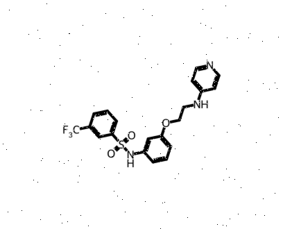 O=S(=O)(Nc1cccc(OCCNc2ccncc2)c1)c1cccc(C(F)(F)F)c1